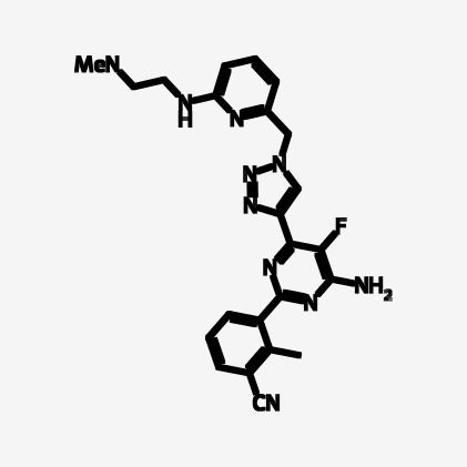 CNCCNc1cccc(Cn2cc(-c3nc(-c4cccc(C#N)c4C)nc(N)c3F)nn2)n1